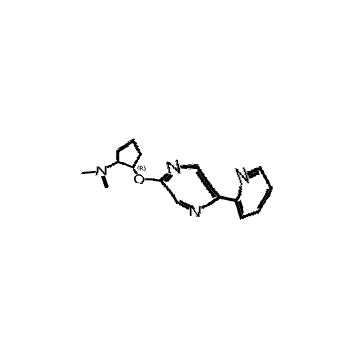 CN(C)C1CCC[C@H]1Oc1cnc(-c2ccccn2)cn1